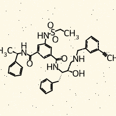 C#Cc1cccc(CNC[C@@H](O)[C@H](Cc2ccccc2)NC(=O)c2cc(NS(=O)(=O)CC)cc(C(=O)N[C@H](C)c3ccccc3)c2)c1